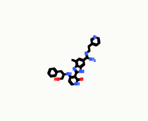 Cc1cc(C(N)=NCCc2cccnc2)cc2[nH]c(-c3c(NC(CO)Cc4ccccc4)cc[nH]c3=O)nc12